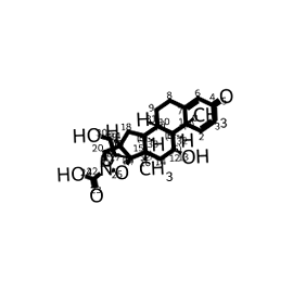 C[C@]12C=CC(=O)C=C1CC[C@@H]1[C@@H]2[C@@H](O)C[C@@]2(C)[C@H]1C[C@H]1CN(C(=O)O)O[C@]12C(=O)CO